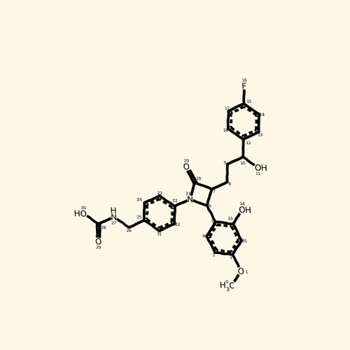 COc1ccc(C2C(CCC(O)c3ccc(F)cc3)C(=O)N2c2ccc(CNC(=O)O)cc2)c(O)c1